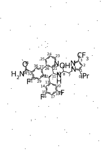 CC(C)c1cc(C(F)(F)F)nn1CC(O)N[C@@H](Cc1cc(F)cc(F)c1)c1ncccc1-c1ccc(F)c(C(N)=O)c1